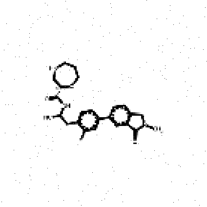 CN1Cc2ccc(-c3ccc(CC(C#N)NC(=O)[C@@H]4CNCCCO4)c(F)c3)cc2C1=O